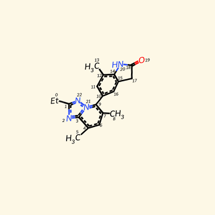 CCc1nc2c(C)cc(C)c(-c3cc(C)c4c(c3)CC(=O)N4)n2n1